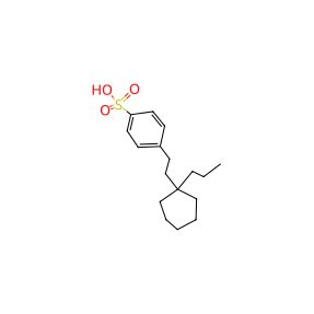 CCCC1(CCc2ccc(S(=O)(=O)O)cc2)CCCCC1